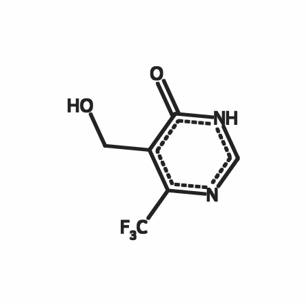 O=c1[nH]cnc(C(F)(F)F)c1CO